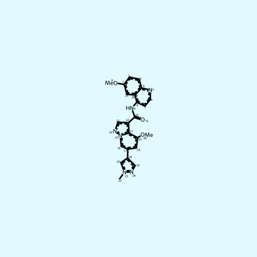 COc1ccc2nccc(NC(=O)c3cnn4cc(-c5cnn(C)c5)cc(OC)c34)c2c1